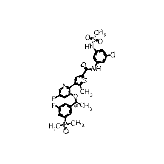 Cc1sc(C(=O)Nc2cc(Cl)cc(NS(C)(=O)=O)c2)cc1-c1ncc(F)cc1O[C@@H](C)c1cc(F)cc(P(C)(C)=O)c1